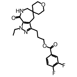 CCn1nc(CCCOC(=O)c2ccc(F)c(F)c2)c2c1C(=O)NCC1(CCOCC1)C2